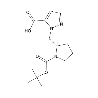 CC(C)(C)OC(=O)N1CCC[C@H]1Cn1nccc1C(=O)O